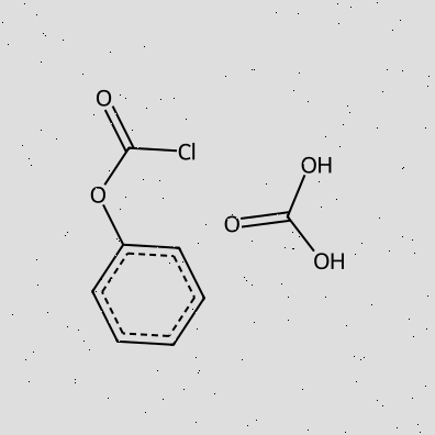 O=C(Cl)Oc1ccccc1.O=C(O)O